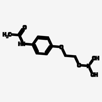 CC(=O)Nc1ccc(OCCON(O)O)cc1